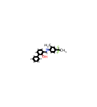 Cc1cc(C(C)(F)F)ccc1/N=C/c1cccc(-c2ccccc2)c1O